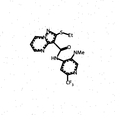 CCSc1nn2cccnc2c1C(=O)Nc1cc(C(F)(F)F)ncc1NC